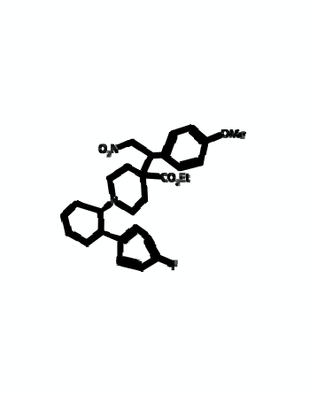 CCOC(=O)C1(C(C[N+](=O)[O-])c2ccc(OC)cc2)CCN([C@@H]2CCCC[C@@H]2c2ccc(F)cc2)CC1